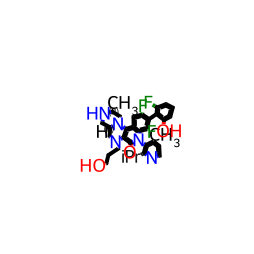 Cc1ccnc(C(C)C)c1-n1c(=O)c2c(c3cc(F)c(-c4c(O)cccc4F)c(F)c31)N1C[C@@H](C)NC[C@@H]1CN2CCCO